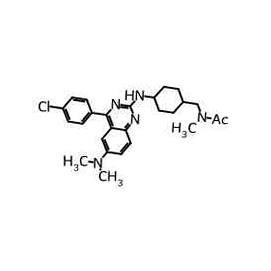 CC(=O)N(C)CC1CCC(Nc2nc(-c3ccc(Cl)cc3)c3cc(N(C)C)ccc3n2)CC1